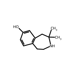 CC1(C)Cc2cc(O)ccc2CCN1